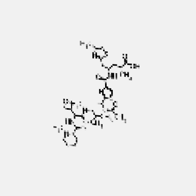 CC(=O)O[C@H](C[C@H](C(C)C)N(C)C(=O)[C@@H](NC(=O)[C@H]1CCCCN1C)C1COC1)c1nc(C(=O)N[C@@H](Cc2nc(C)cs2)C[C@H](C)C(=O)O)cs1